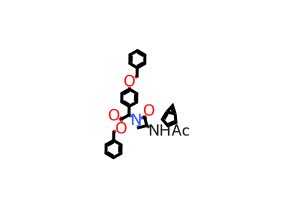 CC(=O)NC1CN(C(C(=O)OCc2ccccc2)c2ccc(OCc3ccccc3)cc2)C1=O.c1cc2cc-2c1